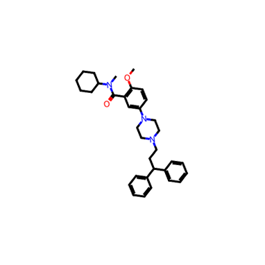 COc1ccc(N2CCN(CCC(c3ccccc3)c3ccccc3)CC2)cc1C(=O)N(C)C1CCCCC1